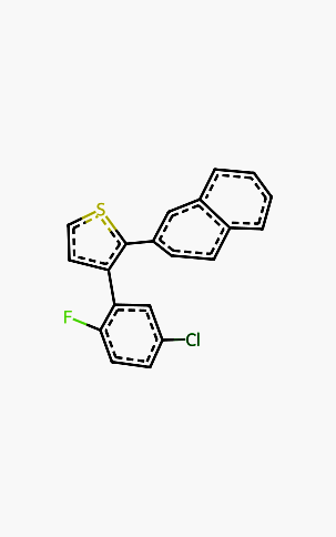 Fc1ccc(Cl)cc1-c1ccsc1-c1ccc2ccccc2c1